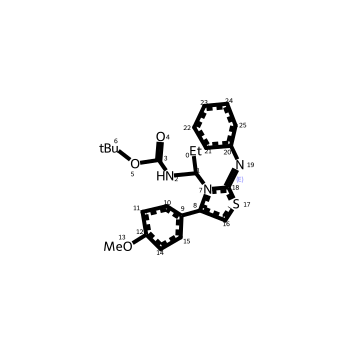 CCC(NC(=O)OC(C)(C)C)n1c(-c2ccc(OC)cc2)cs/c1=N/c1ccccc1